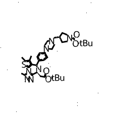 Cc1sc2c(c1C)C(c1ccc(N3CCN(CC4CCN(C(=O)OC(C)(C)C)CC4)CC3)cc1)=N[C@@H](CC(=O)OC(C)(C)C)c1nnc(C)n1-2